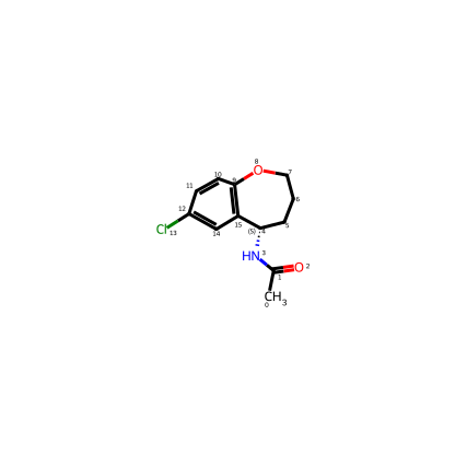 CC(=O)N[C@H]1CCCOc2ccc(Cl)cc21